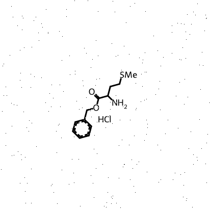 CSCCC(N)C(=O)OCc1ccccc1.Cl